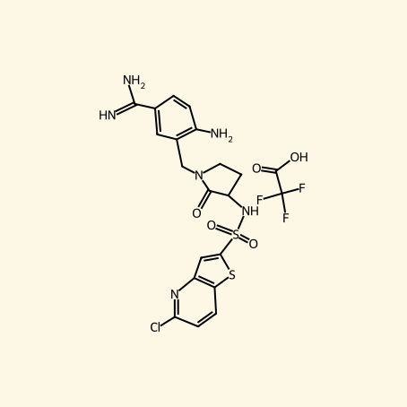 N=C(N)c1ccc(N)c(CN2CCC(NS(=O)(=O)c3cc4nc(Cl)ccc4s3)C2=O)c1.O=C(O)C(F)(F)F